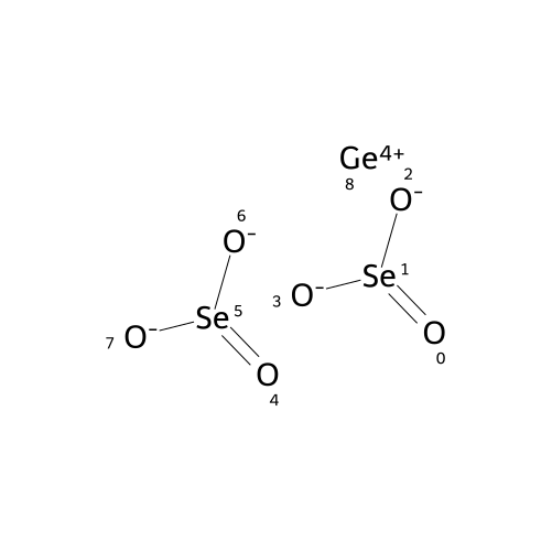 O=[Se]([O-])[O-].O=[Se]([O-])[O-].[Ge+4]